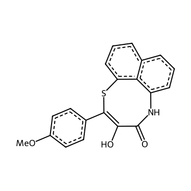 COc1ccc(/C2=C(\O)C(=O)Nc3cccc4cccc(c34)S2)cc1